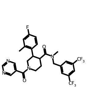 Cc1cc(F)ccc1C1CN(C(=O)c2cncnc2)CCC1C(=O)N(C)Cc1cc(C(F)(F)F)cc(C(F)(F)F)c1